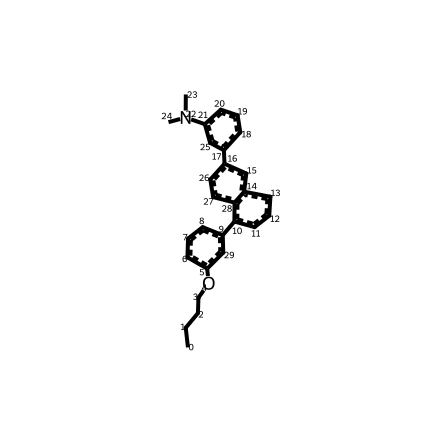 CCCCOc1cccc(-c2cccc3cc(-c4cccc(N(C)C)c4)ccc23)c1